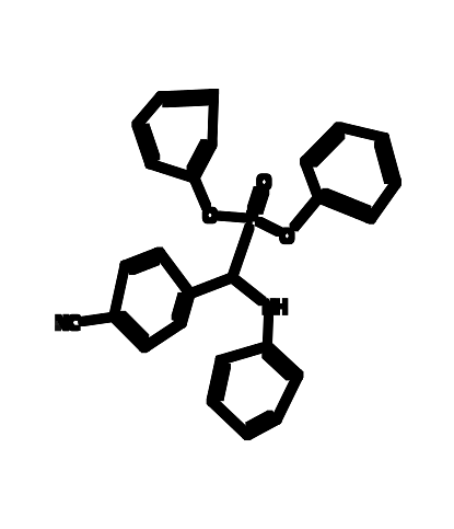 N#Cc1ccc(C(Nc2ccccc2)P(=O)(Oc2ccccc2)Oc2ccccc2)cc1